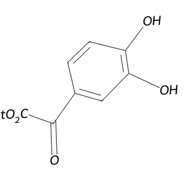 CCOC(=O)C(=O)c1ccc(O)c(O)c1